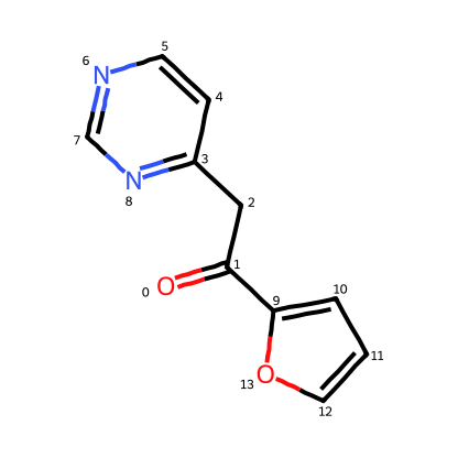 O=C(Cc1ccncn1)c1ccco1